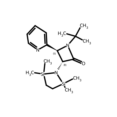 CC(C)(C)N1C(=O)[C@H](N2[Si](C)(C)CC[Si]2(C)C)[C@H]1c1ccccn1